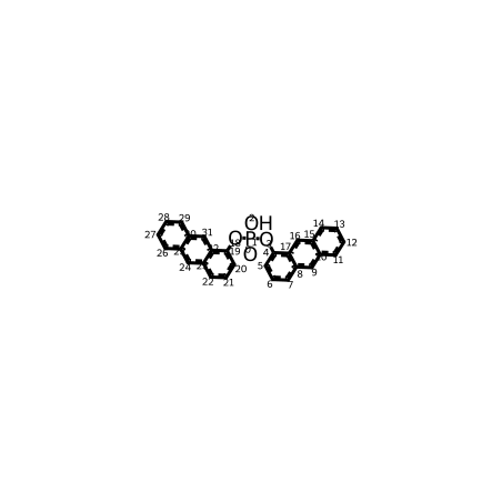 O=P(O)(Oc1cccc2cc3ccccc3cc12)Oc1cccc2cc3ccccc3cc12